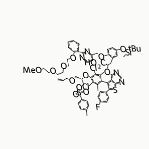 C=CCOC[C@H](COS(=O)(=O)c1ccc(C)cc1)Oc1c(Cl)c(C)c(-c2c(-c3ccc(F)cc3)sc3ncnc(O[C@H](Cc4cc(O[Si](C)(C)C(C)(C)C)ccc4OCc4ccnc(-c5ccccc5OCCOCCOCCOC)n4)C(=O)O)c23)c(C)c1Cl